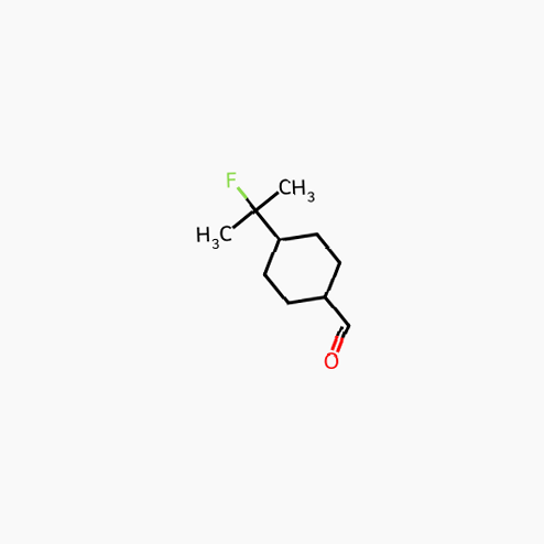 CC(C)(F)C1CCC(C=O)CC1